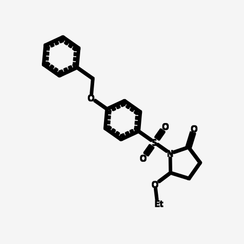 CCOC1CCC(=O)N1S(=O)(=O)c1ccc(OCc2ccccc2)cc1